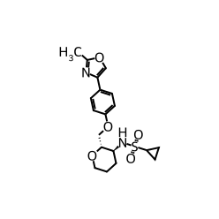 Cc1nc(-c2ccc(OC[C@H]3OCCC[C@@H]3NS(=O)(=O)C3CC3)cc2)co1